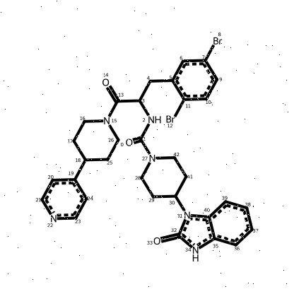 O=C(NC(Cc1cc(Br)ccc1Br)C(=O)N1CCC(c2ccncc2)CC1)N1CCC(n2c(=O)[nH]c3ccccc32)CC1